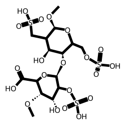 CO[C@H]1OC(COS(=O)(=O)O)[C@H](O[C@@H]2OC(C(=O)O)[C@@H](OC)[C@@H](O)C2OS(=O)(=O)O)[C@@H](O)C1CS(=O)(=O)O